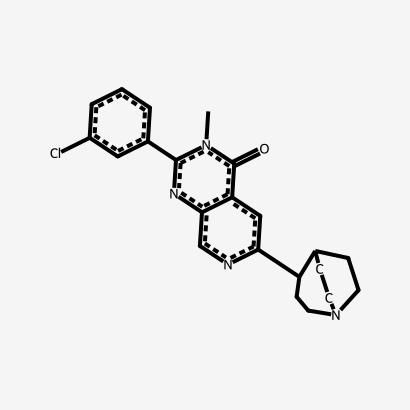 Cn1c(-c2cccc(Cl)c2)nc2cnc(C3CCN4CCC3CC4)cc2c1=O